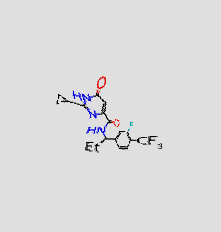 CC[C@@H](NC(=O)c1cc(=O)[nH]c(C2CC2)n1)c1ccc(C(F)(F)F)c(F)c1